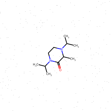 CC(C)N1CCN(C(C)C)C(C)C1=O